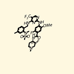 COc1cc(C(=O)N[C@@H]2CCN(C)C[C@@H]2F)c(F)cc1Nc1ncc(C(F)(F)F)c(NCc2ccc(C)cc2N(C)S(C)(=O)=O)n1